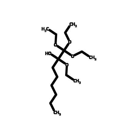 CCCCCCC(O)(OCC)C(OCC)(OCC)OCC